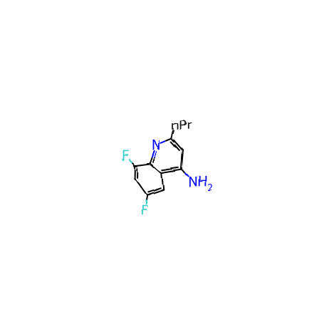 CCCc1cc(N)c2cc(F)cc(F)c2n1